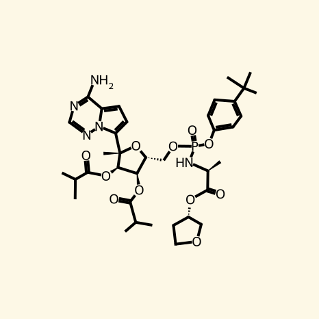 CC(C)C(=O)O[C@H]1[C@@H](OC(=O)C(C)C)[C@](C)(c2ccc3c(N)ncnn23)O[C@@H]1COP(=O)(N[C@@H](C)C(=O)O[C@H]1CCOC1)Oc1ccc(C(C)(C)C)cc1